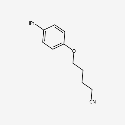 CC(C)c1ccc(OCCCCC#N)cc1